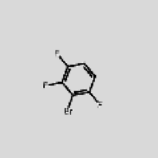 Fc1[c]cc(F)c(Br)c1F